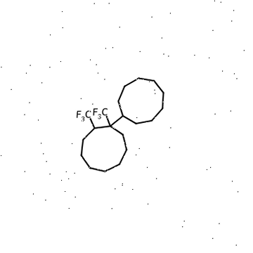 FC(F)(F)C1CCCCCCCC1(C1CCCCCCCC1)C(F)(F)F